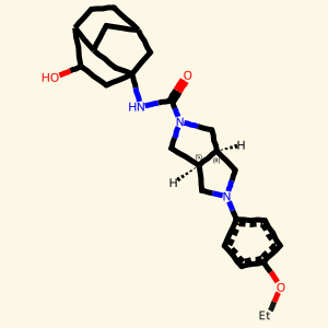 CCOc1ccc(N2C[C@H]3CN(C(=O)NC45CC6CCC(C(O)C4)C(C6)C5)C[C@H]3C2)cc1